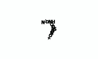 Cc1cc(NC2CCC(OCC(=S)N3CCN(c4ccc(C(C)(C)C)cc4)CC3)CC2)ccc1C#N